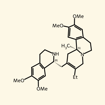 CCC1=C(C[C@H]2NCCc3cc(OC)c(OC)cc32)C[C@@]2(C)c3cc(OC)c(OC)cc3CCN2C1